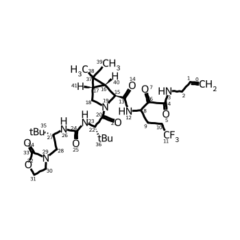 C=CCNC(=O)C(=O)C(CCC(F)(F)F)NC(=O)[C@@H]1[C@@H]2[C@H](CN1C(=O)[C@@H](NC(=O)N[C@H](CN1CCOC1=O)C(C)(C)C)C(C)(C)C)C2(C)C